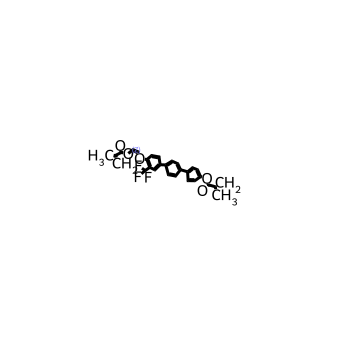 C=C(C)C(=O)O/C=C\Oc1ccc(-c2ccc(-c3ccc(OC(=O)C(=C)C)cc3)cc2)cc1C(F)(F)F